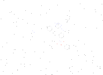 CN1CCC(COc2ccc(-c3cc(Nc4ccc(N(OC=O)S(=O)(=O)c5ccc(F)cc5F)cc4)ncn3)cc2F)CC1